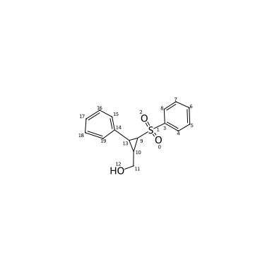 O=S(=O)(c1ccccc1)C1C(CO)C1c1ccccc1